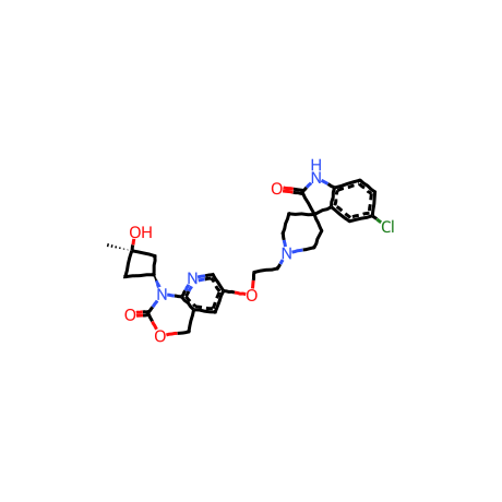 C[C@]1(O)C[C@@H](N2C(=O)OCc3cc(OCCN4CCC5(CC4)C(=O)Nc4ccc(Cl)cc45)cnc32)C1